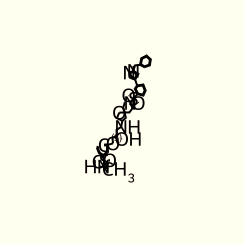 CNS(=O)(=O)c1cccc(OC[C@@H](O)CNC2COC3(CCN(S(=O)(=O)c4cccc(-c5cnn(Cc6ccccc6)c5)c4)CC3)C2)c1